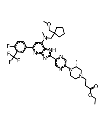 CCOC(=O)CCN1CCN(c2cnc(-c3nc4nc(-c5ccc(F)c(C(F)(F)F)c5)cc(N(C)CC5(COC)CCCC5)c4[nH]3)cn2)[C@H](C)C1